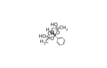 C[Si](C)(O)OP(=O)(O[Si](C)(C)O)c1ccccc1